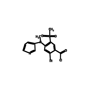 CCc1cc(N(C)c2cccnc2)c(S(C)(=O)=O)cc1C(=O)Cl